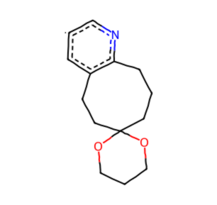 [c]1cnc2c(c1)CCC1(CCC2)OCCCO1